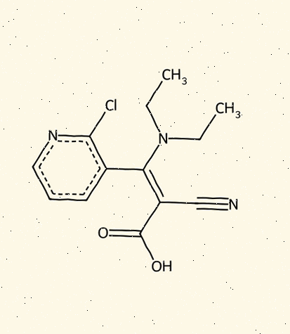 CCN(CC)C(=C(C#N)C(=O)O)c1cccnc1Cl